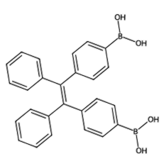 OB(O)c1ccc(C(=C(c2ccccc2)c2ccc(B(O)O)cc2)c2ccccc2)cc1